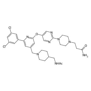 CC(=O)NCC1CCN(Cc2cc(Oc3cnc(N4CCN(CCC(N)=O)CC4)nc3)nc(-c3cc(Cl)cc(Cl)c3)c2)CC1